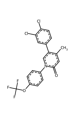 Cc1cc(=O)n(-c2ccc(OC(F)(F)F)cc2)cc1-c1ccc(Cl)c(Cl)c1